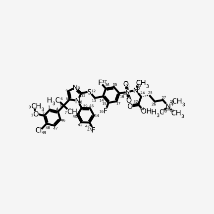 COc1cc(C(C)(C)c2cnc(SCc3c(F)cc(S(=O)(=O)N(C)[C@H](CCC[N+](C)(C)C)C(=O)O)cc3F)n2-c2ccc(F)cc2)ccc1Cl